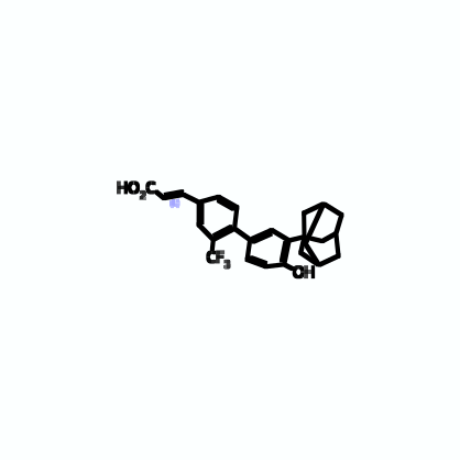 O=C(O)/C=C/c1ccc(-c2ccc(O)c(C34CC5CC(CC(C5)C3)C4)c2)c(C(F)(F)F)c1